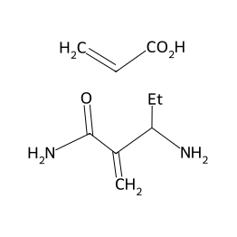 C=C(C(N)=O)C(N)CC.C=CC(=O)O